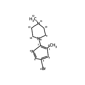 Cc1cc(Br)cnc1N1CCN(C)CC1